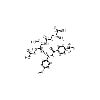 COc1ccc(C(=O)CC(=O)c2ccc(C(C)(C)C)cc2)cc1.N[C@@H](CCC(=O)N[C@@H](CS)C(=O)NCC(=O)O)C(=O)O